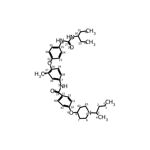 CCCC(C)N1CCC(Oc2ccc(C(=O)Nc3ccc(Oc4ccc(NC(=O)NC(CC)CC)cc4)c(C)c3)cc2)CC1